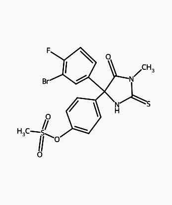 CN1C(=O)C(c2ccc(OS(C)(=O)=O)cc2)(c2ccc(F)c(Br)c2)NC1=S